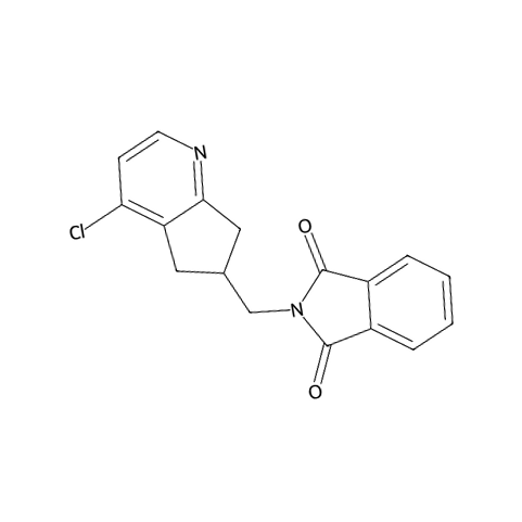 O=C1c2ccccc2C(=O)N1CC1Cc2nccc(Cl)c2C1